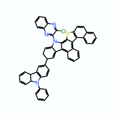 Clc1nc2ccccc2nc1-n1c2c(c3c4ccccc4c4c(sc5ccc6ccccc6c54)c31)=CC(c1ccc3c(c1)C1C=CC=CC1N3c1ccccc1)CC=2